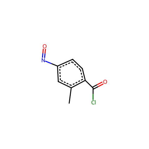 Cc1cc(N=O)ccc1C(=O)Cl